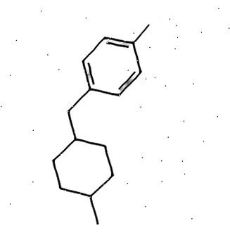 CC1CCC(Cc2ccc(C(=O)O)cc2)CC1